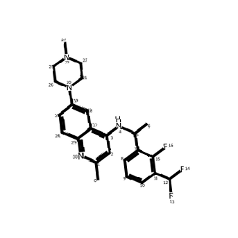 Cc1cc(NC(C)c2cccc(C(F)F)c2F)c2cc(N3CCN(C)CC3)ccc2n1